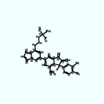 CC1(c2ccc(F)c(F)c2)C(=O)Nc2nc(-c3cn4ncnc4c(CCCC(F)(F)F)n3)nc(N)c21